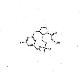 CC(C)(C)OC(=O)N1CC[C@H](Oc2cc(F)cc([N+](=O)[O-])c2)[C@H]1COS(C)(=O)=O